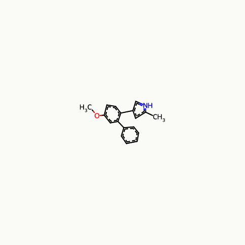 COc1ccc(-c2c[nH]c(C)c2)c(-c2ccccc2)c1